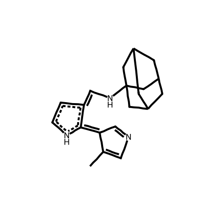 CC1=CN=CC1=c1[nH]ccc1=CNC12CC3CC(CC(C3)C1)C2